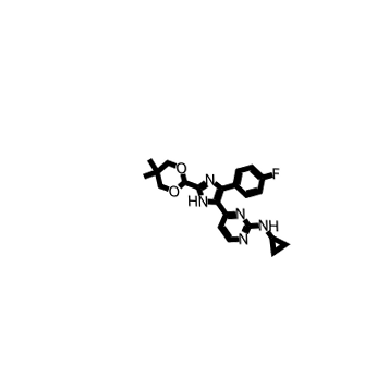 CC1(C)COC(c2nc(-c3ccc(F)cc3)c(-c3ccnc(NC4CC4)n3)[nH]2)OC1